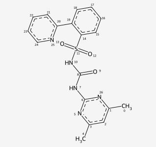 Cc1cc(C)nc(NC(=O)NS(=O)(=O)c2ccccc2-c2ccccn2)n1